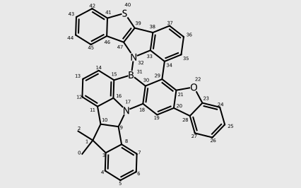 CC1(C)c2ccccc2C2C1c1cccc3c1N2c1cc2c(oc4ccccc42)c2c1B3n1c3c-2cccc3c2sc3ccccc3c21